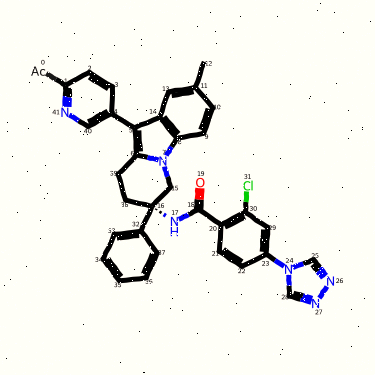 CC(=O)c1ccc(-c2c3n(c4ccc(C)cc24)C[C@@](NC(=O)c2ccc(-n4cnnc4)cc2Cl)(c2ccccc2)CC3)cn1